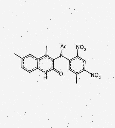 CC(=O)N(c1cc(C)c([N+](=O)[O-])cc1[N+](=O)[O-])c1c(C)c2cc(C)ccc2[nH]c1=O